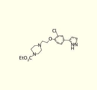 CCOC(=O)N1CCN(CCOc2ccc(-c3ccn[nH]3)cc2Cl)CC1